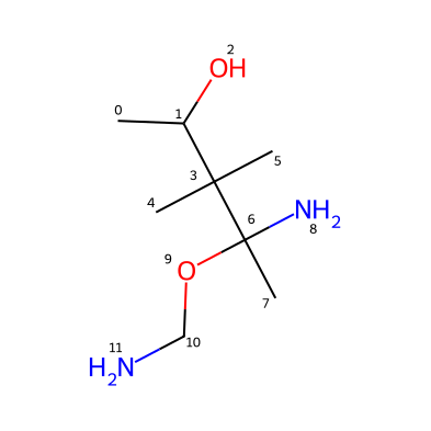 CC(O)C(C)(C)C(C)(N)OCN